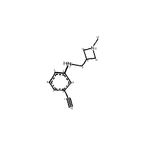 [C]#Cc1cccc(NCC2CN(C)C2)c1